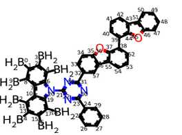 Bc1c(B)c(B)c2c(c1B)c1c(B)c(B)c(B)c(B)c1n2-c1nc(-c2ccccc2)nc(-c2ccc3oc4c(-c5cccc6c5oc5ccccc56)cccc4c3c2)n1